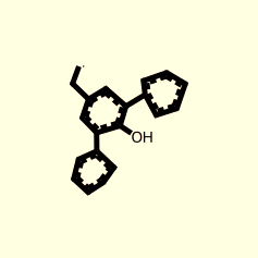 [CH2]Cc1cc(-c2ccccc2)c(O)c(-c2ccccc2)c1